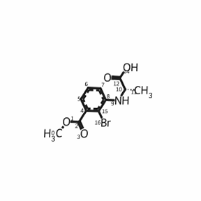 COC(=O)c1cccc(N[C@@H](C)C(=O)O)c1Br